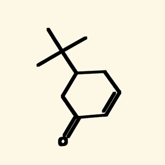 CC(C)(C)C1CC=CC(=O)C1